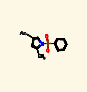 CC(=O)c1cc(C)n(S(=O)(=O)c2ccccc2)c1